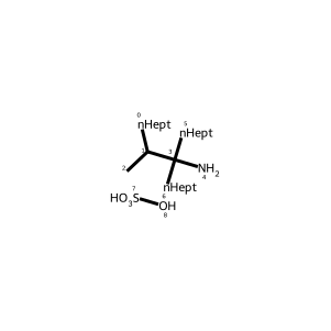 CCCCCCCC(C)C(N)(CCCCCCC)CCCCCCC.O=S(=O)(O)O